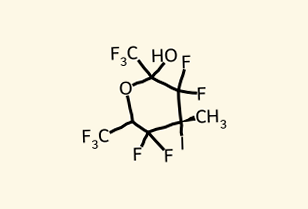 C[C@@]1(I)C(F)(F)C(C(F)(F)F)OC(O)(C(F)(F)F)C1(F)F